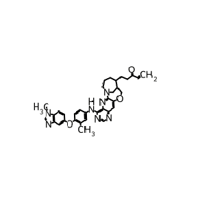 C=CC(=O)CCC1CCCN2CC1COc1cc3ncnc(Nc4ccc(Oc5ccc6c(c5)ncn6C)c(C)c4)c3nc12